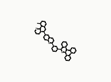 Cc1cccc2cc(-c3ccc4nc(-c5cccc(-c6nc7c8ccccc8c8ccccc8c7c7ccccc67)c5)ccc4c3)c3cccnc3c12